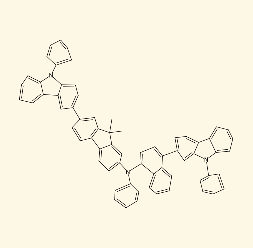 CC1(C)c2cc(-c3ccc4c(c3)c3ccccc3n4-c3ccccc3)ccc2-c2ccc(N(c3ccccc3)c3ccc(-c4ccc5c6ccccc6n(-c6ccccc6)c5c4)c4ccccc34)cc21